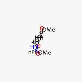 C=C(C)[C@@H]1CC[C@]2(C(=O)NCCN(CCC)CC(=O)OC)CC[C@]3(C)C(CC[C@@H]4[C@@]5(C)CC=C(c6ccc(C(=O)OC)cc6)C(C)(C)[C@@H]5CC[C@]43C)[C@@H]12